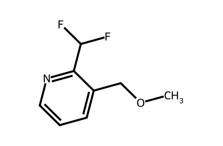 COCc1cccnc1C(F)F